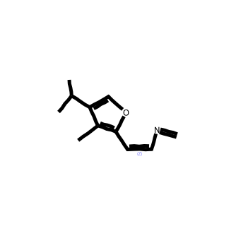 C=N/C=C\c1occ(C(C)C)c1C